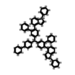 c1ccc(-c2ccc(N(c3ccc(-c4cccc5c4ccn5-c4ccccc4)c(-c4ccccc4)c3)c3ccc(-c4cccc5c4ccn5-c4ccccc4)c(-c4ccccc4)c3)cc2)cc1